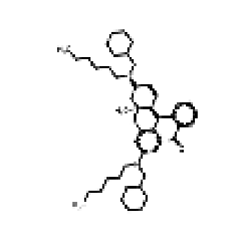 CCCCCCN(CC1CCCCC1)c1ccc2c(c1)OC1(C)C/C(=[N+](\CCCCCC)CC3CCCCC3)C=CC1=C2c1ccccc1C(=O)O